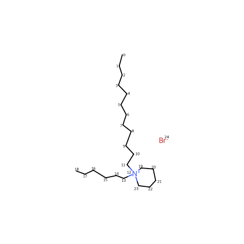 CCCCCCCCCCCC[N+]1(CCCCCC)CCCCC1.[Br-]